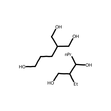 CCCC(O)C(CC)CO.OCCCC(CO)CO